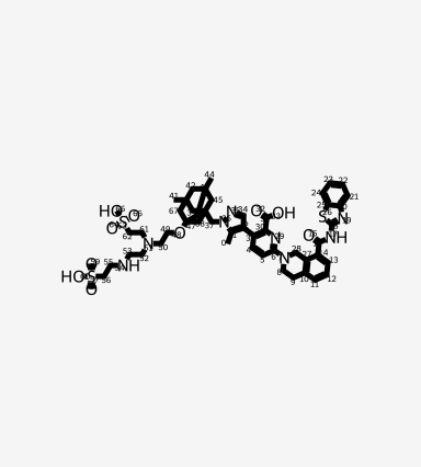 Cc1c(-c2ccc(N3CCc4cccc(C(=O)Nc5nc6ccccc6s5)c4C3)nc2C(=O)O)cnn1CC12CC3(C)CC(C)(C1)CC(OCCN(CCNCCS(=O)(=O)O)CCS(=O)(=O)O)(C3)C2